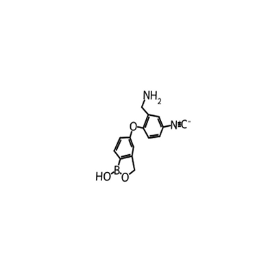 [C-]#[N+]c1ccc(Oc2ccc3c(c2)COB3O)c(CN)c1